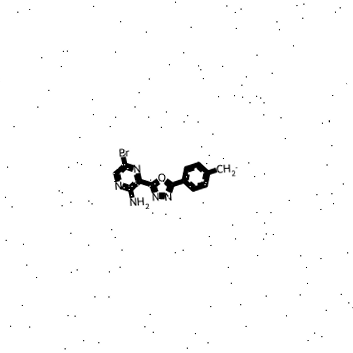 [CH2]c1ccc(-c2nnc(-c3nc(Br)cnc3N)o2)cc1